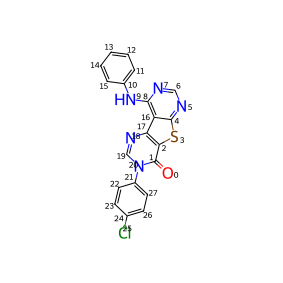 O=c1c2sc3ncnc(Nc4ccccc4)c3c2ncn1-c1ccc(Cl)cc1